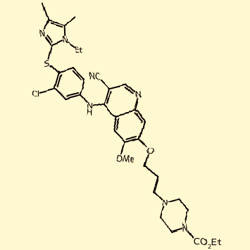 CCOC(=O)N1CCN(CCCOc2cc3ncc(C#N)c(Nc4ccc(Sc5nc(C)c(C)n5CC)c(Cl)c4)c3cc2OC)CC1